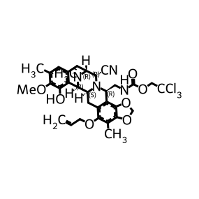 C=CCOc1c(C)c2c(c3c1C[C@H]1[C@H]4c5c(cc(C)c(OC)c5O)C[C@H]([C@H](C#N)N1[C@H]3CNC(=O)OCC(Cl)(Cl)Cl)N4C)OCO2